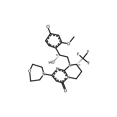 COc1cc(Cl)ccc1[C@@H](O)CN1c2nc(N3CCOCC3)cc(=O)n2CC[C@H]1C(F)(F)F